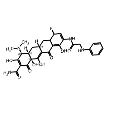 CN(C)[C@@H]1C(O)=C(C(N)=O)C(=O)[C@@]2(O)C(O)=C3C(=O)C4=C(O)C(NC(=O)CNc5ccccc5)=CC(F)C4C[C@H]3C[C@@H]12